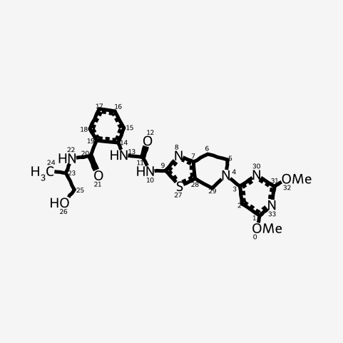 COc1cc(N2CCc3nc(NC(=O)Nc4ccccc4C(=O)NC(C)CO)sc3C2)nc(OC)n1